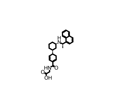 C[C@@H](N[C@H]1CCC[C@H](C2C=CC(C(=O)NCC(=O)O)=CC2)C1)c1cccc2ccccc12